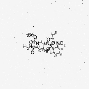 C=CCON([C@H]1CN(C(=O)OC(C)(C)C)[C@H](C(N)=O)C=C1C(C)C)S(=O)(=O)c1ccccc1[N+](=O)[O-]